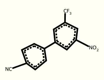 N#Cc1ccc(-c2cc([N+](=O)[O-])cc(C(F)(F)F)c2)cc1